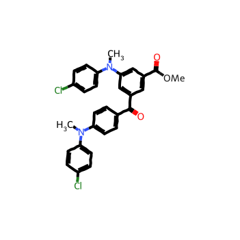 COC(=O)c1cc(C(=O)c2ccc(N(C)c3ccc(Cl)cc3)cc2)cc(N(C)c2ccc(Cl)cc2)c1